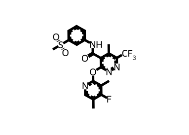 Cc1cnc(Oc2nnc(C(F)(F)F)c(C)c2C(=O)Nc2cccc(S(C)(=O)=O)c2)c(C)c1F